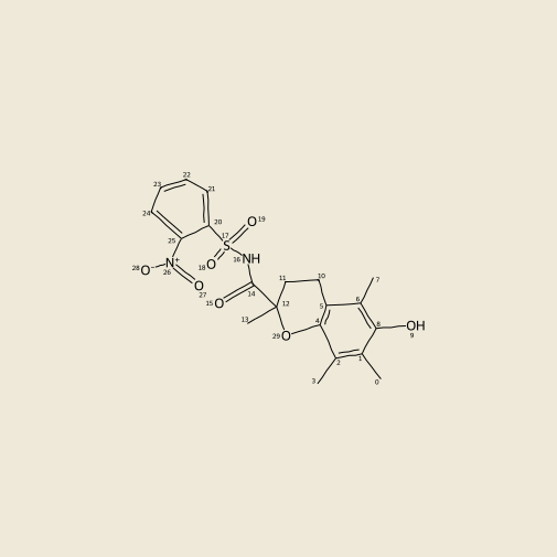 Cc1c(C)c2c(c(C)c1O)CCC(C)(C(=O)NS(=O)(=O)c1ccccc1[N+](=O)[O-])O2